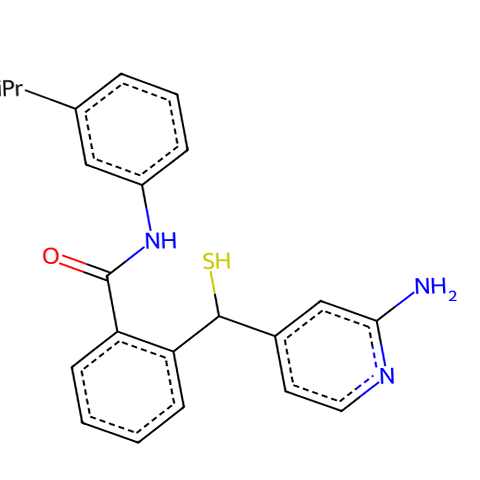 CC(C)c1cccc(NC(=O)c2ccccc2C(S)c2ccnc(N)c2)c1